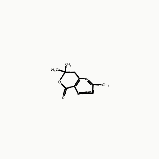 Cc1ccc2c(n1)CC(C)(C)OC2=O